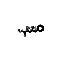 CC(=O)N(O)C[C@H](N)Cc1ccccc1